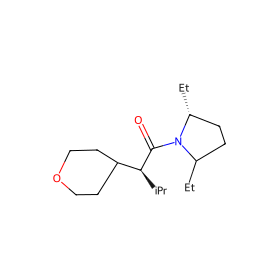 CCC1CC[C@@H](CC)N1C(=O)[C@@H](C(C)C)C1CCOCC1